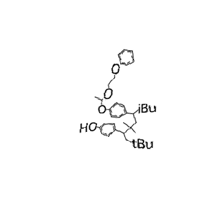 CCC(C)C(CC(C)(C)C(CC(C)(C)C)c1ccc(O)cc1)c1ccc(OC(C)OCCOc2ccccc2)cc1